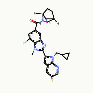 Cn1c(-c2cc3cc(F)cnc3n2CC2CC2)nc2cc(C(=O)N3C[C@H]4CC[C@@H]3[C@@H]4N)cc(F)c21